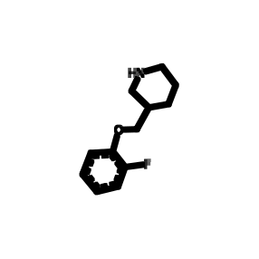 Fc1ccccc1OCC1CCCNC1